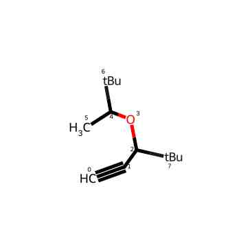 C#CC(OC(C)C(C)(C)C)C(C)(C)C